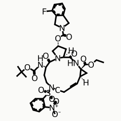 CCOC(=O)[C@@]12C[C@H]1C=CCCN(S(=O)(=O)c1ccccc1[N+](=O)[O-])CC[C@H](NC(=O)OC(C)(C)C)C(=O)N1C[C@H](OC(=O)N3Cc4cccc(F)c4C3)C[C@H]1C(=O)N2